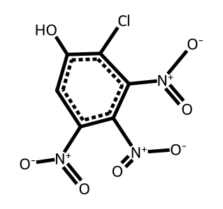 O=[N+]([O-])c1cc(O)c(Cl)c([N+](=O)[O-])c1[N+](=O)[O-]